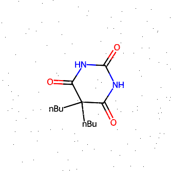 CCCCC1(CCCC)C(=O)NC(=O)NC1=O